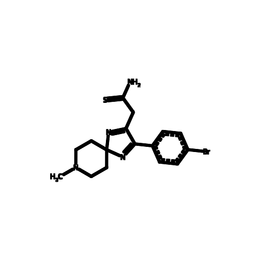 CN1CCC2(CC1)N=C(CC(N)=S)C(c1ccc(Br)cc1)=N2